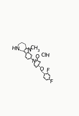 Cl.Cn1c2c(c3ccc(-n4ccc(OCc5ccc(F)cc5F)cc4=O)cc31)CNCCC2